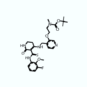 COc1c(F)cccc1NC(=S)C1=C(NCc2ccncc2OCCN(C)C(=O)OC(C)(C)C)CCNC1=O